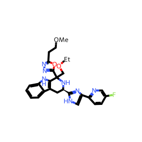 CCOCC1(c2nnc(CCOC)o2)N[C@@H](c2nc(-c3ccc(F)cn3)c[nH]2)Cc2c1[nH]c1ccccc21